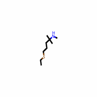 CCSCCCC(C)(C)NC